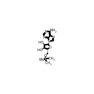 CC(C)(C)[Si](C)(C)OC[C@H]1O[C@@H](n2cnc3c(N)ncnc32)[C@H](O)[C@@H]1O